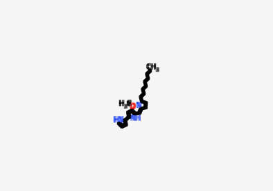 CCCCCCCCCC1=NC(=Cc2[nH]c(-c3ccc[nH]3)cc2OC)C=C1